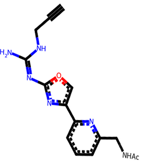 C#CCNC(N)=Nc1nc(-c2cccc(CNC(C)=O)n2)co1